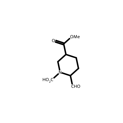 COC(=O)C1CCC(C=O)N(C(=O)O)C1